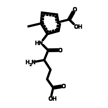 Cc1ccc(C(=O)O)cc1NC(=O)C(N)CCC(=O)O